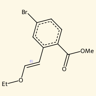 CCO/C=C/c1cc(Br)ccc1C(=O)OC